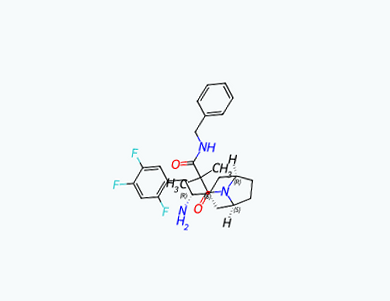 CC(C)(C(=O)NCc1ccccc1)C(=O)N1[C@@H]2CC[C@H]1C[C@H]([C@H](N)Cc1cc(F)c(F)cc1F)C2